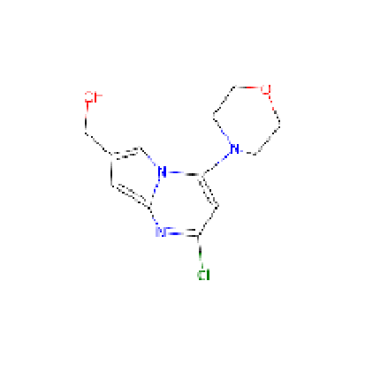 OCc1cc2nc(Cl)cc(N3CCOCC3)n2c1